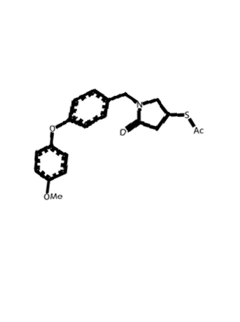 COc1ccc(Oc2ccc(CN3CC(SC(C)=O)CC3=O)cc2)cc1